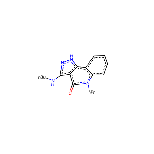 CCCCNc1n[nH]c2c1c(=O)n(CCC)c1ccccc21